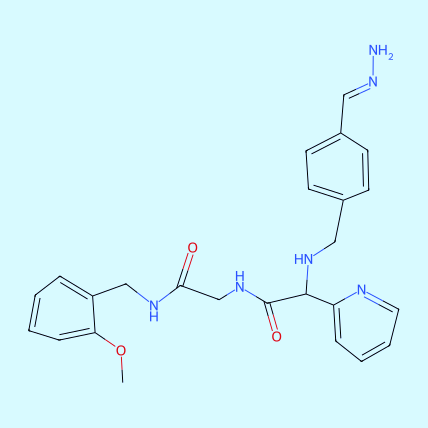 COc1ccccc1CNC(=O)CNC(=O)C(NCc1ccc(C=NN)cc1)c1ccccn1